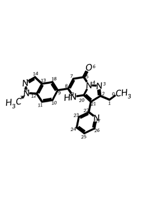 CCc1nn2c(=O)cc(-c3ccc4c(cnn4C)c3)[nH]c2c1-c1ccccn1